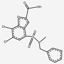 CN(Cc1ccccc1)S(=O)(=O)c1cc(Cl)c(Cl)c2oc(C(=O)O)cc12